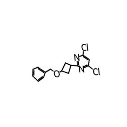 Clc1cc(Cl)nc(C2CC(OCc3ccccc3)C2)n1